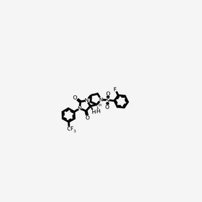 O=C1[C@H]2[C@H]3CC(CN3S(=O)(=O)c3ccccc3F)N2C(=O)N1c1cccc(C(F)(F)F)c1